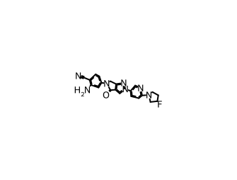 N#Cc1ccc(N2Cc3nn(-c4ccc(N5CC[C@H](F)C5)nc4)cc3C2=O)cc1N